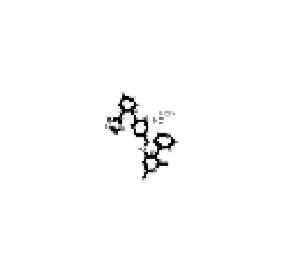 Cc1cc(OCc2ccc(-c3ccccc3-c3nnn[nH]3)cc2)c(-c2ccncc2)c(C)n1.Cl.Cl